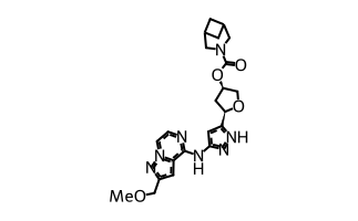 COCc1cc2c(Nc3cc([C@H]4C[C@@H](OC(=O)N5CC6CC(C6)C5)CO4)[nH]n3)nccn2n1